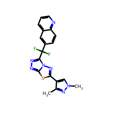 Cc1nn(C)cc1-c1nn2c(C(F)(F)c3ccc4ncccc4c3)nnc2s1